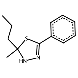 CCCC1(C)NN=C(c2ccccc2)S1